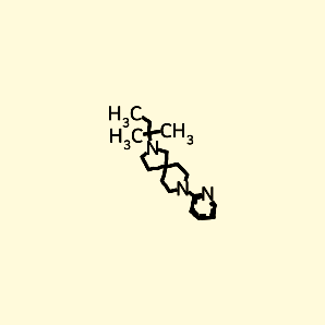 CCC(C)(C)N1CCC2(CCN(c3ccccn3)CC2)C1